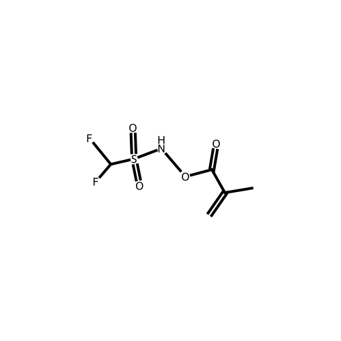 C=C(C)C(=O)ONS(=O)(=O)C(F)F